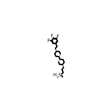 C[SiH2]CCC[C@H]1CC[C@H]([C@H]2CC[C@H](CCc3cc(F)c(F)c(F)c3)CC2)CC1